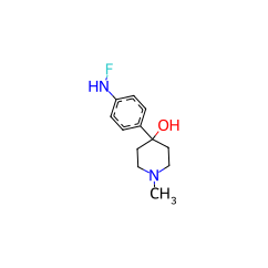 CN1CCC(O)(c2ccc(NF)cc2)CC1